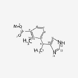 COC(=O)c1cccc(C(C)c2c[nH]cn2)c1C